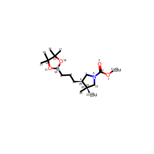 CC(C)(C)OC(=O)N1C[C@H](CCCB2OC(C)(C)C(C)(C)O2)[C@](C)(C(C)(C)C)C1